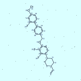 C=CC1CCC(c2ccc(OCc3ccc(-c4ccc(OCC)cc4F)cc3)c(F)c2F)CC1